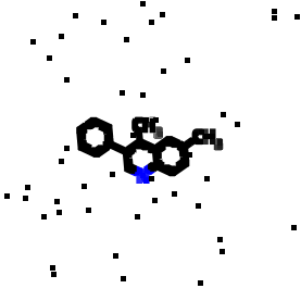 Cc1ccc2ncc(-c3ccccc3)c(C)c2c1